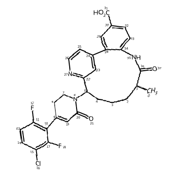 CC1CCCC(N2CCC(c3c(F)ccc(Cl)c3F)=CC2=O)c2cc(ccn2)-c2cc(C(=O)O)ccc2NC1=O